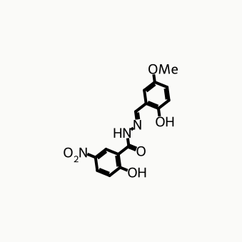 COc1ccc(O)c(/C=N/NC(=O)c2cc([N+](=O)[O-])ccc2O)c1